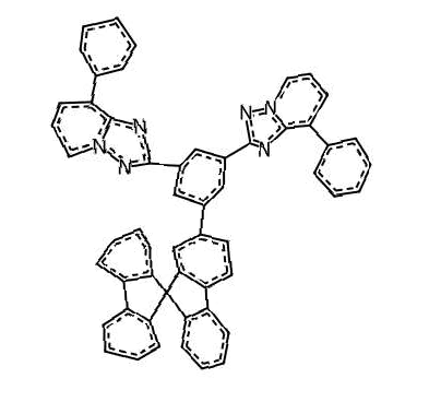 c1ccc(-c2cccn3nc(-c4cc(-c5ccc6c(c5)C5(c7ccccc7-c7ccccc75)c5ccccc5-6)cc(-c5nc6c(-c7ccccc7)cccn6n5)c4)nc23)cc1